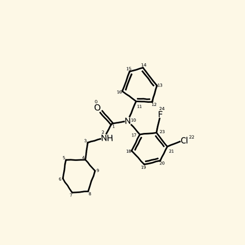 O=C(NCC1CCCCC1)N(c1ccccc1)c1cccc(Cl)c1F